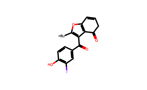 CCCCc1oc2c(c1C(=O)c1ccc(O)c(I)c1)C(=O)CC=C2